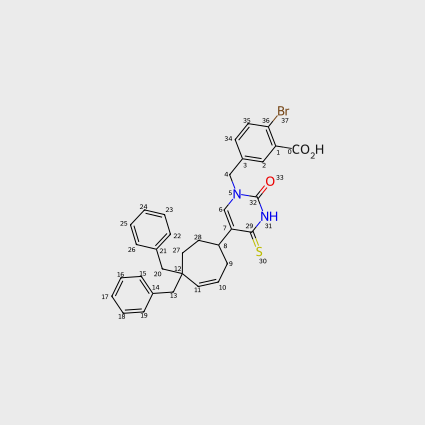 O=C(O)c1cc(Cn2cc(C3CC=CC(Cc4ccccc4)(Cc4ccccc4)CC3)c(=S)[nH]c2=O)ccc1Br